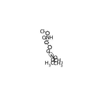 CC(C)(C)OC(=O)N1CCC(Oc2cccc(-c3ccc(C(=O)Nc4cccc(Cl)c4)s3)c2)CC1